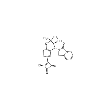 CC1(C)Oc2ccc(-c3c(O)c(=O)c3=O)cc2[C@@H](N2Cc3ccccc3C2=O)[C@@H]1O